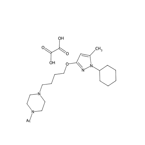 CC(=O)N1CCN(CCCCOc2cc(C)n(C3CCCCC3)n2)CC1.O=C(O)C(=O)O